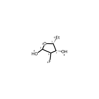 CC[C@H]1OC(O)C(F)[C@H]1O